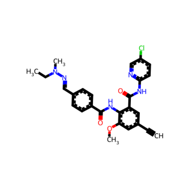 C#Cc1cc(OC)c(NC(=O)c2ccc(C=NN(C)CC)cc2)c(C(=O)Nc2ccc(Cl)cn2)c1